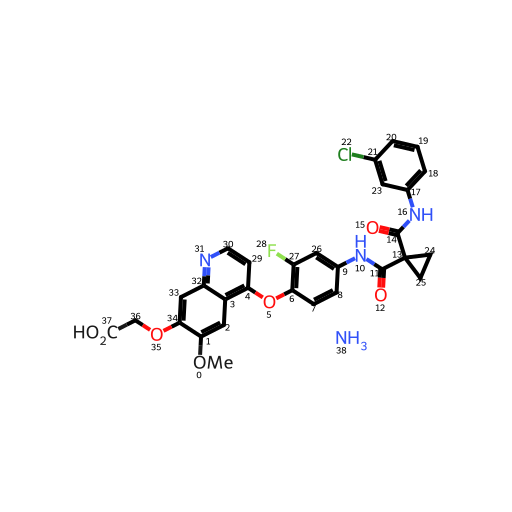 COc1cc2c(Oc3ccc(NC(=O)C4(C(=O)Nc5cccc(Cl)c5)CC4)cc3F)ccnc2cc1OCC(=O)O.N